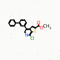 COC(=O)c1cc2c(-c3cccc(-c4ccccc4)c3)cnc(Cl)c2s1